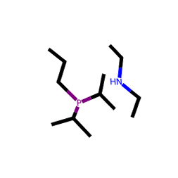 CCCP(C(C)C)C(C)C.CCNCC